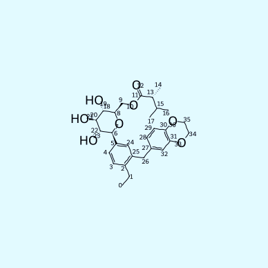 CCc1ccc([C@@H]2O[C@H](COC(=O)[C@H](C)C(C)C)[C@@H](O)[C@H](O)[C@H]2O)cc1Cc1ccc2c(c1)OCCO2